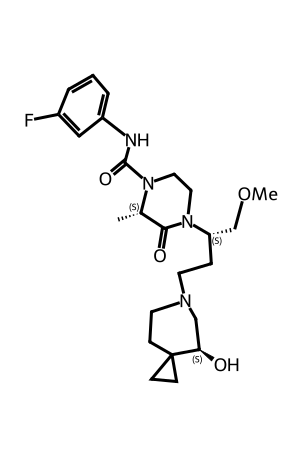 COC[C@H](CCN1CCC2(CC2)[C@H](O)C1)N1CCN(C(=O)Nc2cccc(F)c2)[C@@H](C)C1=O